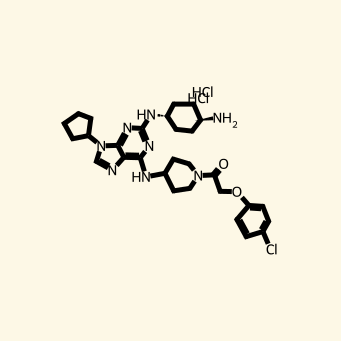 Cl.Cl.N[C@H]1CC[C@H](Nc2nc(NC3CCN(C(=O)COc4ccc(Cl)cc4)CC3)c3ncn(C4CCCC4)c3n2)CC1